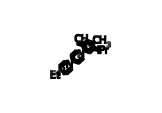 C=Cc1cc(C)c(C(C)C)cc1N1CCC(N2CCN(CC)CC2)CC1